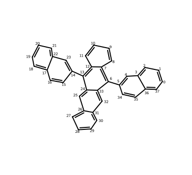 c1ccc2cc(-c3c4ccccc4c(-c4ccc5ccccc5c4)c4cc5ccccc5cc34)ccc2c1